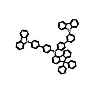 c1ccc(C2(c3ccccc3)c3ccccc3-c3c(N(c4ccc(-c5ccc(-n6c7ccccc7c7ccccc76)cc5)cc4)c4ccc(-c5cccc(-n6c7ccccc7c7ccccc76)c5)cc4)cccc32)cc1